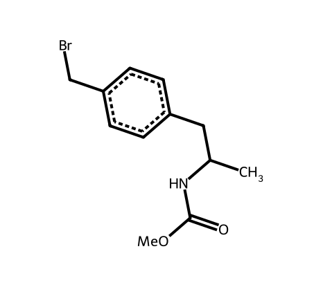 COC(=O)NC(C)Cc1ccc(CBr)cc1